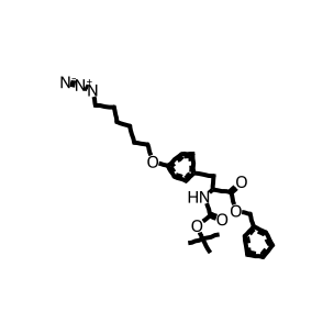 CC(C)(C)OC(=O)NC(Cc1ccc(OCCCCCCN=[N+]=[N-])cc1)C(=O)OCc1ccccc1